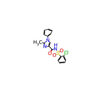 Cc1nc(C(=O)NS(=O)(=O)c2ccccc2Cl)cn1-c1ccccc1